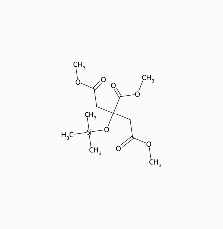 COC(=O)CC(CC(=O)OC)(O[Si](C)(C)C)C(=O)OC